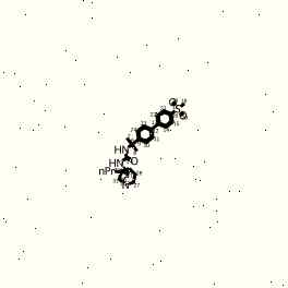 CCCC1(NC(=O)NC(C)(C)c2ccc(-c3ccc(S(C)(=O)=O)cc3)cc2)CN2CCC1CC2